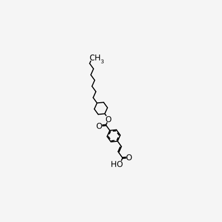 CCCCCCCCC1CCC(OC(=O)c2ccc(/C=C/C(=O)O)cc2)CC1